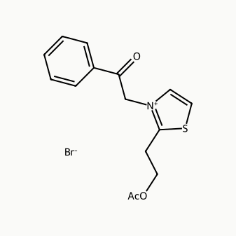 CC(=O)OCCc1scc[n+]1CC(=O)c1ccccc1.[Br-]